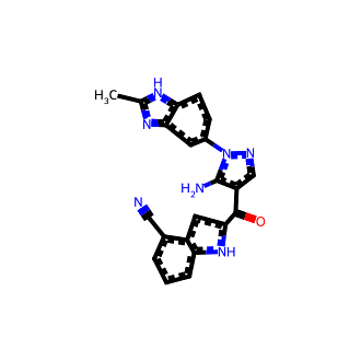 Cc1nc2cc(-n3ncc(C(=O)c4cc5c(C#N)cccc5[nH]4)c3N)ccc2[nH]1